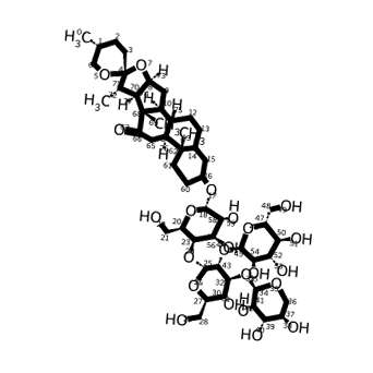 C[C@@H]1CC[C@@]2(OC1)O[C@H]1C[C@H]3[C@@H]4CCC5CC(O[C@H]6O[C@H](CO)[C@H](O[C@H]7O[C@H](CO)[C@@H](O)[C@H](O[C@H]8OC[C@@H](O)[C@H](O)[C@H]8O)[C@H]7O[C@H]7O[C@H](CO)[C@@H](O)[C@H](O)[C@H]7O)[C@H](O)[C@H]6O)CC[C@]5(C)[C@H]4CC(=O)[C@]3(C)[C@H]1[C@@H]2C